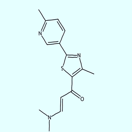 Cc1ccc(-c2nc(C)c(C(=O)C=CN(C)C)s2)cn1